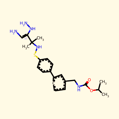 CC(C)OC(=O)NCc1cccc(-c2ccc(SNC(C)(C)/C(=C/N)NN)cc2)c1